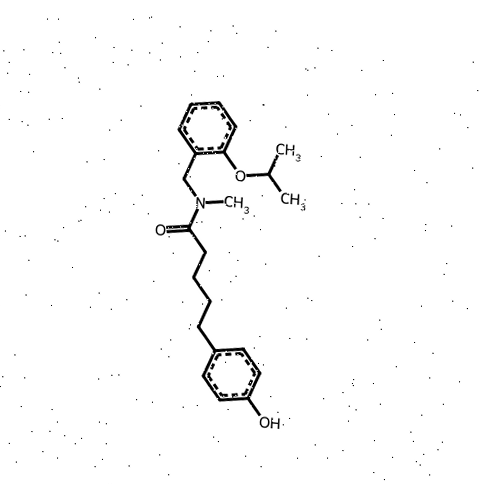 CC(C)Oc1ccccc1CN(C)C(=O)CCCCc1ccc(O)cc1